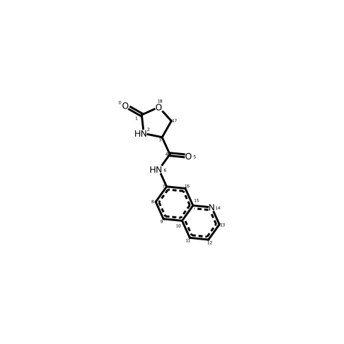 O=C1NC(C(=O)Nc2ccc3cccnc3c2)CO1